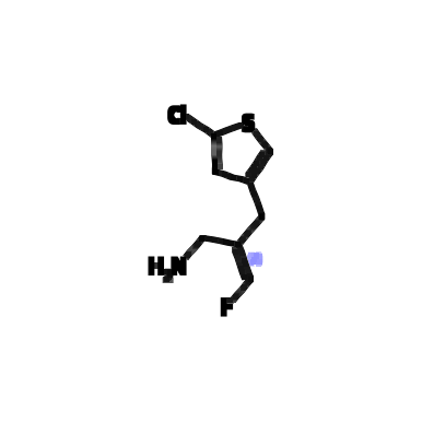 NC/C(=C\F)Cc1csc(Cl)c1